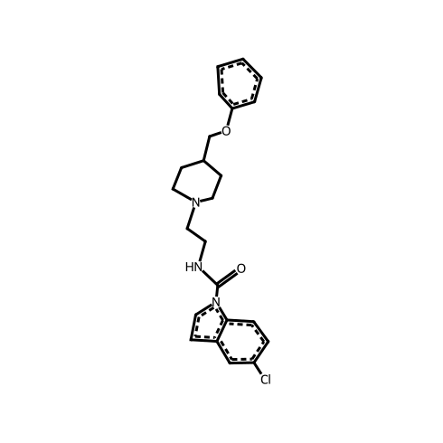 O=C(NCCN1CCC(COc2ccccc2)CC1)n1ccc2cc(Cl)ccc21